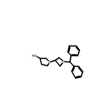 OC1CCN(C2CN(C(c3ccccc3)c3ccccc3)C2)C1